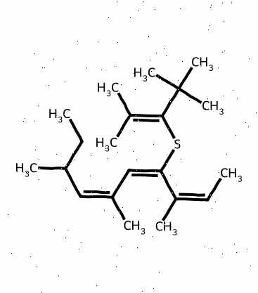 C\C=C(C)/C(=C\C(C)=C/C(C)CC)SC(=C(C)C)C(C)(C)C